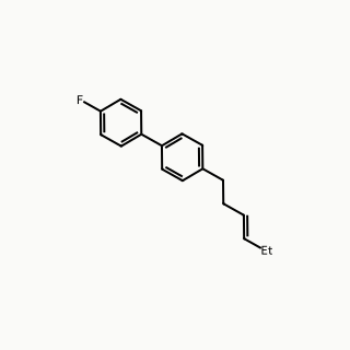 CC/C=C/CCc1ccc(-c2ccc(F)cc2)cc1